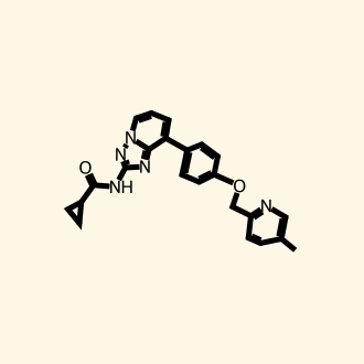 Cc1ccc(COc2ccc(-c3cccn4nc(NC(=O)C5CC5)nc34)cc2)nc1